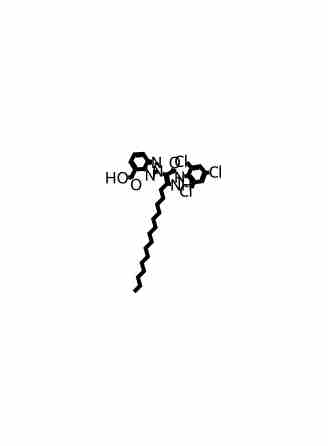 CCCCCCCCCCCCCCCc1[nH]n(-c2c(Cl)cc(Cl)cc2Cl)c(=O)c1-n1nc2cccc(C(=O)O)c2n1